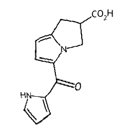 O=C(c1ccc[nH]1)c1ccc2n1CC(C(=O)O)C2